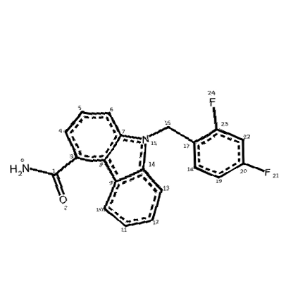 NC(=O)c1cccc2c1c1[c]cccc1n2Cc1ccc(F)cc1F